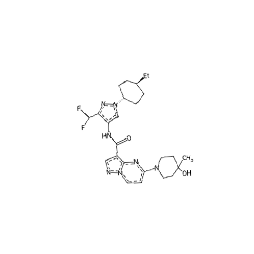 CC[C@H]1CC[C@H](n2cc(NC(=O)c3cnn4ccc(N5CCC(C)(O)CC5)nc34)c(C(F)F)n2)CC1